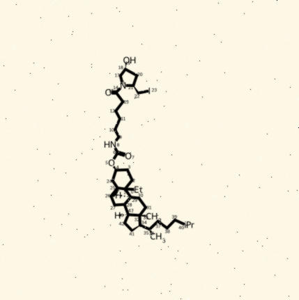 CCC12CC[C@H](OC(=O)NCCCCCC(=O)N3C[C@H](O)C[C@H]3CI)CC1=CCC1[C@@H]2CC[C@]2(C)[C@@H]([C@H](C)CCCC(C)C)CC[C@@H]12